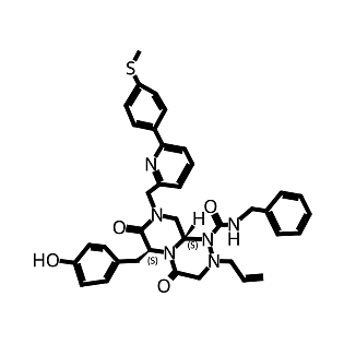 C=CCN1CC(=O)N2[C@@H](Cc3ccc(O)cc3)C(=O)N(Cc3cccc(-c4ccc(SC)cc4)n3)C[C@@H]2N1C(=O)NCc1ccccc1